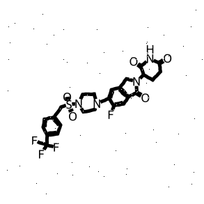 O=C1CCC(N2Cc3cc(N4CCN(S(=O)(=O)Cc5ccc(C(F)(F)F)cc5)CC4)c(F)cc3C2=O)C(=O)N1